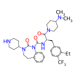 CCc1cc(C[C@@H](NC(=O)N2C(=O)N(C3CCNCC3)CCc3ccccc32)C(=O)N2CCC(N(C)C)CC2)ccc1C(F)(F)F